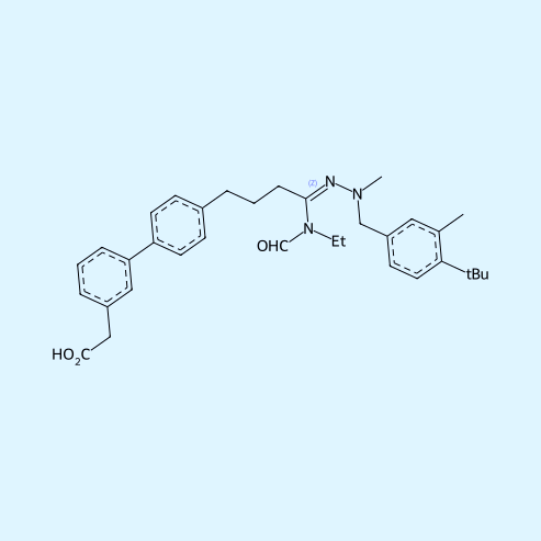 CCN(C=O)/C(CCCc1ccc(-c2cccc(CC(=O)O)c2)cc1)=N\N(C)Cc1ccc(C(C)(C)C)c(C)c1